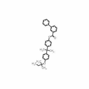 CCC(C)(C)Oc1ccc(C(C)(C)c2ccc(OC(=O)c3cccc(-c4ccccc4)c3)cc2)cc1